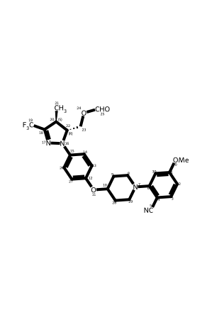 COc1ccc(C#N)c(N2CCC(Oc3ccc(N4N=C(C(F)(F)F)[C@@H](C)[C@@H]4COC=O)cc3)CC2)c1